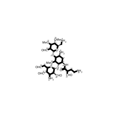 COC1C(O[C@H]2O[C@H](CN)[C@@H](OC)C(OC)C2C=O)[C@@H](N)C[C@@H](NC(=O)C(C=O)CCN)[C@@H]1O[C@H]1OC(CC=O)[C@@H](C=O)C(N)[C@@H]1C=O